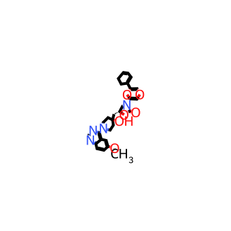 COc1ccc2ncnc(N3CCC(O)(C[C@@H]4CN(C5=COC=C(C6=CC=CCC6)O5)C(=O)O4)CC3)c2c1